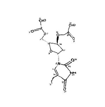 O=CC(=O)OC[C@H]1O[C@@H](n2cc(I)c(=O)[nH]c2=O)C[C@@H]1OC(=O)C=O